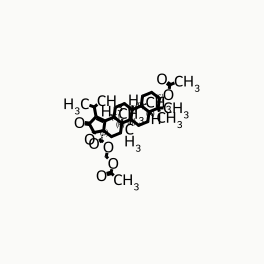 CC(=O)OCOC(=O)[C@@]12CC[C@]3(C)[C@H](CC[C@@H]4[C@@]5(C)CC[C@H](OC(C)=O)C(C)(C)[C@@H]5CC[C@]43C)C1=C(C(C)C)C(=O)C2=O